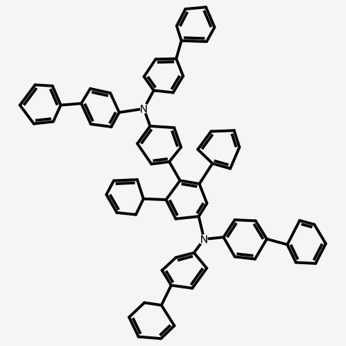 C1=CCC(c2ccc(N(c3ccc(-c4ccccc4)cc3)c3cc(-c4ccccc4)c(-c4ccc(N(c5ccc(-c6ccccc6)cc5)c5ccc(-c6ccccc6)cc5)cc4)c(C4C=CC=CC4)c3)cc2)C=C1